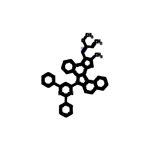 C=C/C(=C\c1c(C)sc2c1c1ccccc1c1c2c2c3ccccc3ccc2n1-c1cc(-c2ccccc2)nc(-c2ccccc2)n1)OC